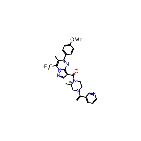 C=C(c1cccnc1)N1CCN(C(=O)c2cnn3c(C(F)(F)F)c(C)c(-c4ccc(OC)cc4)nc23)[C@H](C)C1